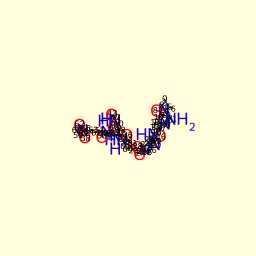 CCCN(CCC)C(=O)C1=Cc2ccc(C(=O)Nc3cnc4c(c3)CN(C(=O)OCc3ccc(NC(=O)C(CCCNC=O)NC(=O)CNC(=O)CCCCCN5C(=O)C=CC5=O)cc3)CC4)cc2N=C(N)C1